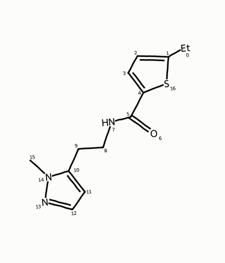 CCc1ccc(C(=O)NCCc2ccnn2C)s1